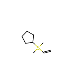 C=CS(C)(C)C1CCCC1